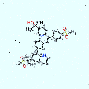 CC(C)(O)c1ccc(/C(=C\c2cccc(-c3cc(C(C)(C)S(C)(=O)=O)cc4cccnc34)c2)c2ccc(S(C)(=O)=O)cc2)nc1